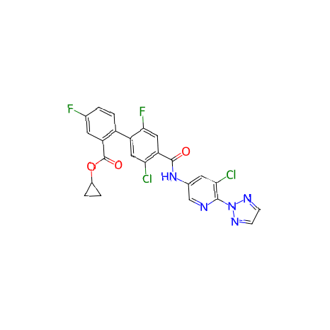 O=C(Nc1cnc(-n2nccn2)c(Cl)c1)c1cc(F)c(-c2ccc(F)cc2C(=O)OC2CC2)cc1Cl